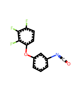 O=C=Nc1cccc(Oc2ccc(F)c(F)c2F)c1